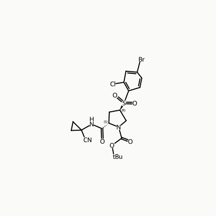 CC(C)(C)OC(=O)N1C[C@H](S(=O)(=O)c2ccc(Br)cc2Cl)C[C@H]1C(=O)NC1(C#N)CC1